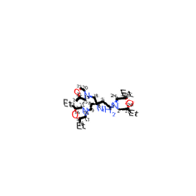 CCC1CN(CCC(N)(CCN2CC(CC)OC(CC)C2)CN2CCOC(C)C2)CC(CC)O1